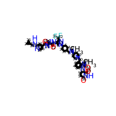 CN(CC1CCC(n2cc(NC(=O)c3coc(-c4ccnc(NCC5CC5)c4)n3)c(C(F)F)n2)CC1)C1CCN(Cc2cccc3c2n(C)c(=O)n3C2CCC(=O)NC2=O)CC1